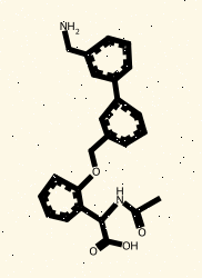 CC(=O)NC(C(=O)O)c1ccccc1OCc1cccc(-c2cccc(CN)c2)c1